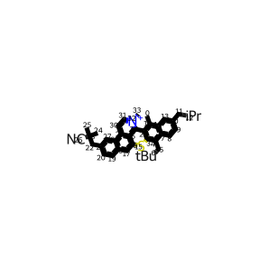 Cc1c2c(c(CC(C)(C)C)c3ccc(CC(C)C)cc13)Sc1cc3ccc(CC(C)(C)C#N)cc3c3cc[n+](C)c-2c13